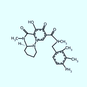 Cc1c(P)ccc(CN(C)C(=O)c2cn3c(c(O)c2=O)C(=O)N(C)[C@@H]2CCCCN23)c1C